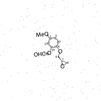 COc1ccc(OC[C@H]2CO2)c(OC=O)c1